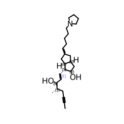 CC#CC[C@H](C)[C@@H](O)/C=C/[C@@H]1[C@H]2CC(=CCCCCN3CCCC3)C[C@H]2C[C@H]1O